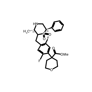 COC(=O)C1(c2cc(F)c(CC3[C@H](C)NC[C@@H](c4ccccc4)S3(=O)=O)cc2F)CCOCC1